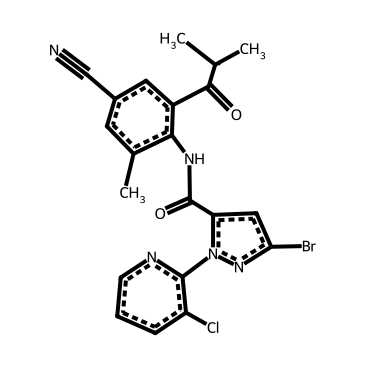 C[C](C)C(=O)c1cc(C#N)cc(C)c1NC(=O)c1cc(Br)nn1-c1ncccc1Cl